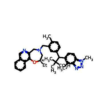 CC[C@@H]1CN(Cc2cc(C(c3ccc4c(nnn4C)c3C)C(C)(C)C(=O)O)ccc2C)Cc2ncc3ccccc3c2O1